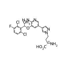 CC(Oc1cc(-c2cnn(CC[C@H](N)C(=O)O)c2)cnc1N)c1c(Cl)ccc(F)c1Cl